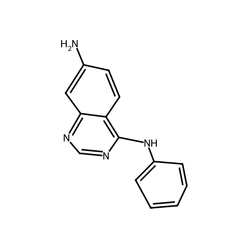 Nc1ccc2c(Nc3ccccc3)ncnc2c1